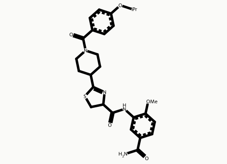 COc1ccc(C(N)=O)cc1NC(=O)C1CSC(C2CCN(C(=O)c3ccc(OC(C)C)cc3)CC2)=N1